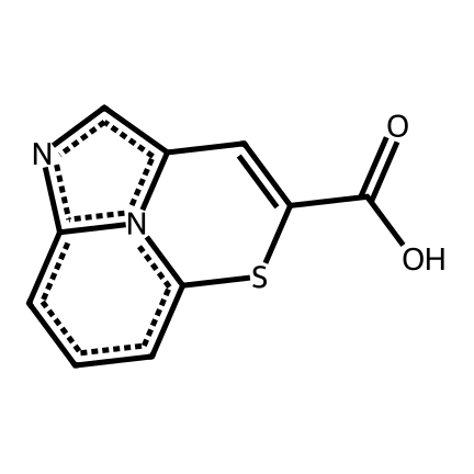 O=C(O)C1=Cc2cnc3cccc(n23)S1